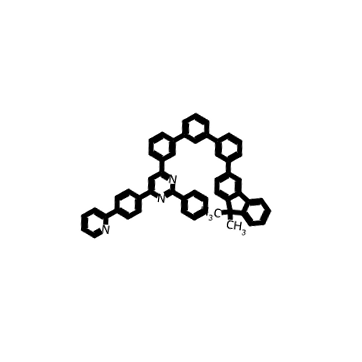 CC1(C)c2ccccc2-c2cc(-c3cccc(-c4cccc(-c5cccc(-c6cc(-c7ccc(-c8ccccn8)cc7)nc(-c7ccccc7)n6)c5)c4)c3)ccc21